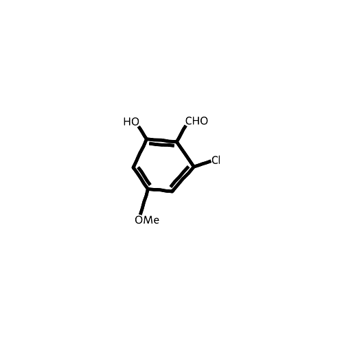 COc1cc(O)c(C=O)c(Cl)c1